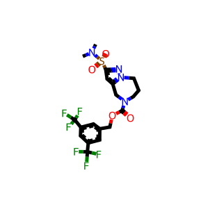 CN(C)S(=O)(=O)c1cc2n(n1)CCCN(C(=O)OCc1cc(C(F)(F)F)cc(C(F)(F)F)c1)C2